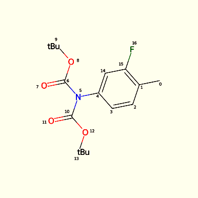 Cc1ccc(N(C(=O)OC(C)(C)C)C(=O)OC(C)(C)C)cc1F